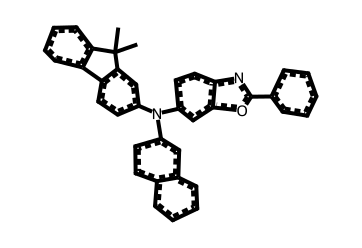 CC1(C)c2ccccc2-c2ccc(N(c3ccc4ccccc4c3)c3ccc4nc(-c5ccccc5)oc4c3)cc21